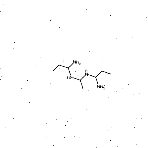 CCC(N)NC(C)NC(N)CC